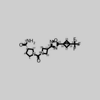 NC(=O)[C@H]1CCN(C(=O)N2CC(c3noc(C45CC(C(F)(F)F)(C4)C5)n3)C2)C1